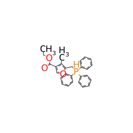 CCOC(=O)c1coc(C[PH](c2ccccc2)(c2ccccc2)c2ccccc2)c1C